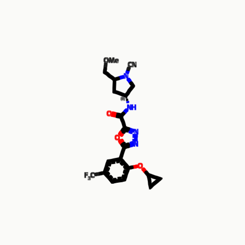 COCC1C[C@@H](NC(=O)c2nnc(-c3cc(C(F)(F)F)ccc3OC3CC3)o2)CN1C#N